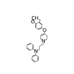 COc1ccc(OC2=CCN(CCCN(c3ccccc3)c3ccccc3)CC2)cc1